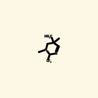 CN1CC(C)(C(=O)O)C=NC1C(F)(F)F